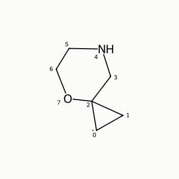 [CH]1CC12CNCCO2